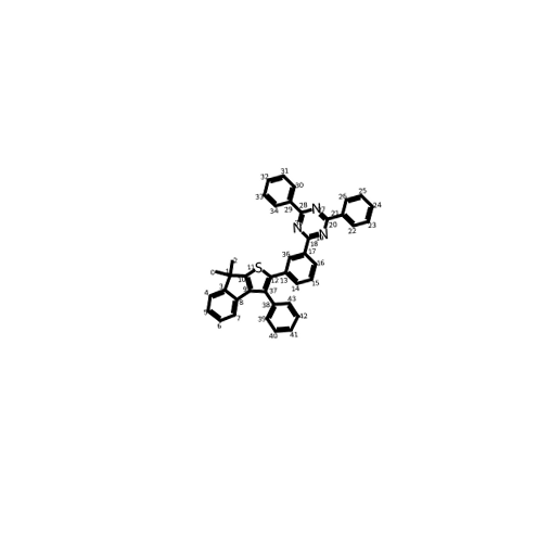 CC1(C)c2ccccc2-c2c1sc(-c1cccc(-c3nc(-c4ccccc4)nc(-c4ccccc4)n3)c1)c2-c1ccccc1